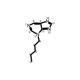 CCCCCn1cncc2ncnc1-2